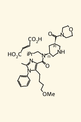 COCCCCc1c(C(=O)N(CC(C)C)[C@@H]2CNC[C@H](C(=O)N3CCOCC3)C2)nc(C)n1-c1ccccc1.O=C(O)C=CC(=O)O